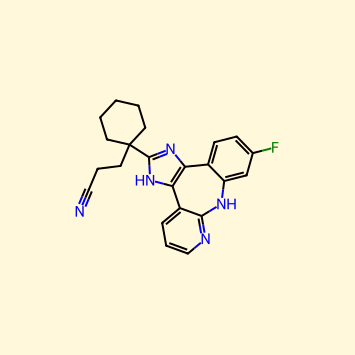 N#CCCC1(c2nc3c([nH]2)-c2cccnc2Nc2cc(F)ccc2-3)CCCCC1